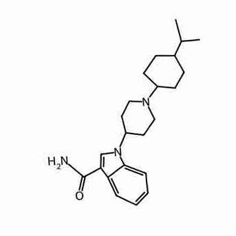 CC(C)C1CCC(N2CCC(n3cc(C(N)=O)c4ccccc43)CC2)CC1